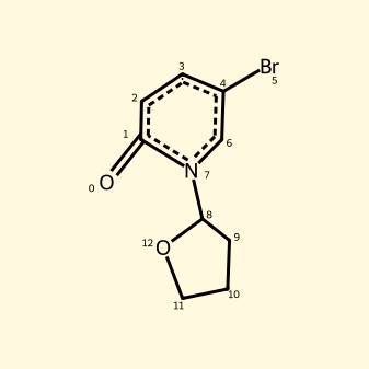 O=c1c[c]c(Br)cn1C1CCCO1